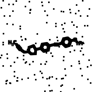 CC#CCC1CCC(c2ccc(C#Cc3ccc(OCCC)cc3)cc2)CC1